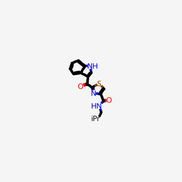 CC(C)CNC(=O)c1csc(C(=O)c2c[nH]c3ccccc23)n1